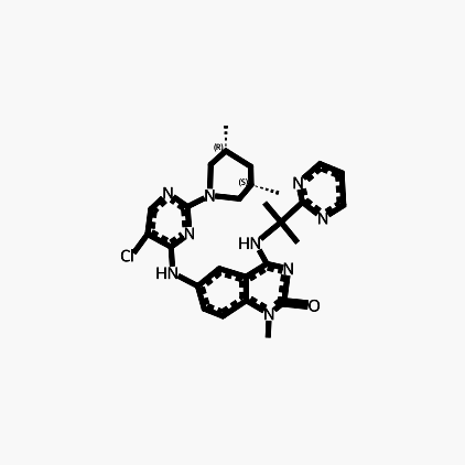 C[C@@H]1C[C@H](C)CN(c2ncc(Cl)c(Nc3ccc4c(c3)c(NC(C)(C)c3ncccn3)nc(=O)n4C)n2)C1